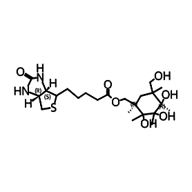 CC1(O)C(C)(O)[C@](C)(O)C(C)(CO)C[C@]1(C)COC(=O)CCCCC1SC[C@@H]2NC(=O)N[C@H]12